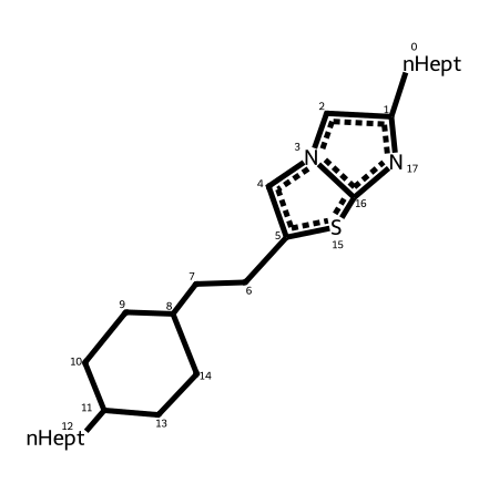 CCCCCCCc1cn2cc(CCC3CCC(CCCCCCC)CC3)sc2n1